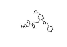 O=C(CO)NCCc1cc(Cl)ccc1OCc1ccccc1